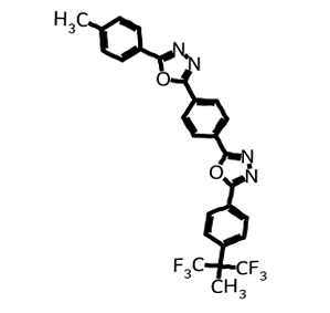 Cc1ccc(-c2nnc(-c3ccc(-c4nnc(-c5ccc(C(C)(C(F)(F)F)C(F)(F)F)cc5)o4)cc3)o2)cc1